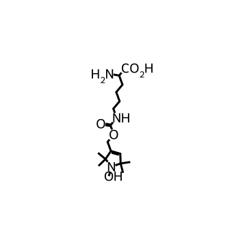 CC1(C)C=C(COC(=O)NCCCCC(N)C(=O)O)C(C)(C)N1O